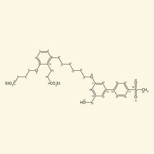 CCOC(=O)CCCOc1cccc(CCCCCCOc2cc(CO)cc(-c3ccc(S(C)(=O)=O)cc3)c2)c1CCC(=O)OCC